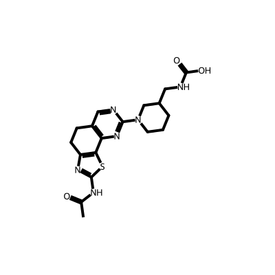 CC(=O)Nc1nc2c(s1)-c1nc(N3CCCC(CNC(=O)O)C3)ncc1CC2